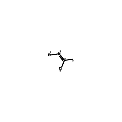 CC/N=C(/C)Cl